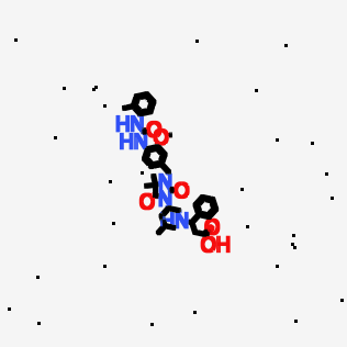 COc1cc(CN2C(=O)N(C(CNC(CC(=O)O)c3ccccc3)CC(C)C)C(=O)C2(C)C)ccc1NC(=O)Nc1ccccc1C